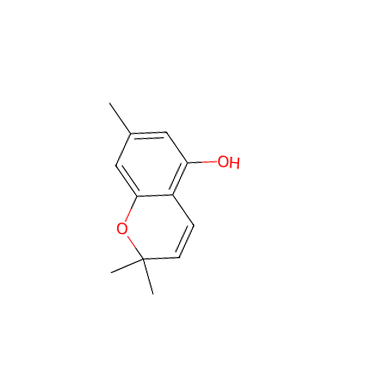 Cc1cc(O)c2c(c1)OC(C)(C)C=C2